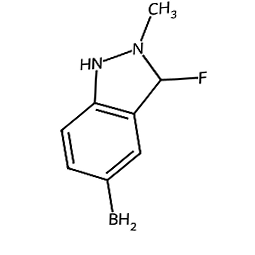 Bc1ccc2c(c1)C(F)N(C)N2